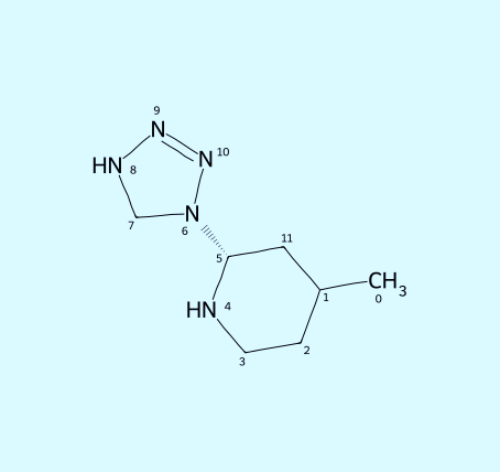 CC1CCN[C@H](N2CNN=N2)C1